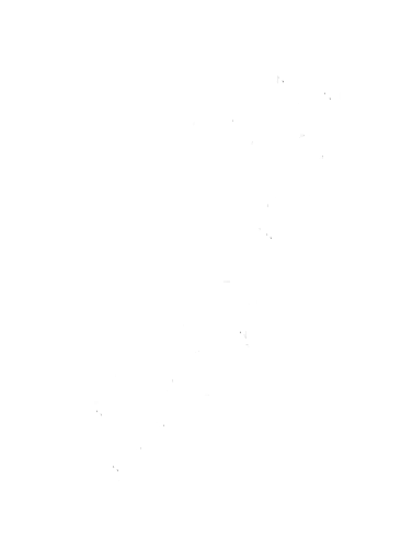 Nc1ncc(Cl)c2cc(NCc3ccc(OC4CCn5ccnc5C4)nc3)ccc12